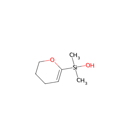 C[Si](C)(O)C1=CCCCO1